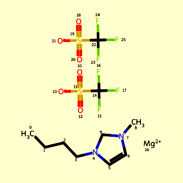 CCCCN1C=CN(C)C1.O=S(=O)([O-])C(F)(F)F.O=S(=O)([O-])C(F)(F)F.[Mg+2]